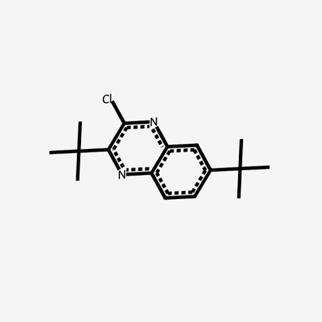 CC(C)(C)c1ccc2nc(C(C)(C)C)c(Cl)nc2c1